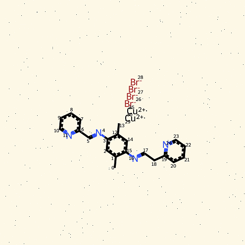 Cc1cc(N=Cc2ccccn2)c(C)cc1N=CCc1ccccn1.[Br-].[Br-].[Br-].[Br-].[Cu+2].[Cu+2]